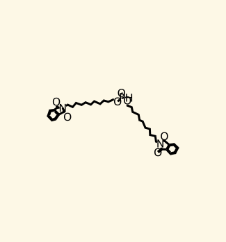 O=C1c2ccccc2C(=O)N1CCCCCCCCCCCO[PH](=O)OCCCCCCCCCCCN1C(=O)c2ccccc2C1=O